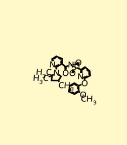 COc1ccccc1Oc1cccc(S(=O)(=O)NC(=O)c2cccnc2N2CC(C)CC2(C)C)n1